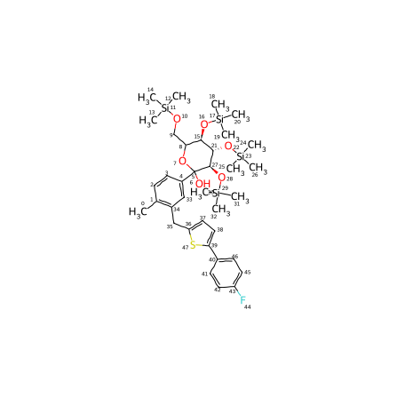 Cc1ccc(C2(O)OC(CO[Si](C)(C)C)[C@@H](O[Si](C)(C)C)[C@H](O[Si](C)(C)C)[C@H]2O[Si](C)(C)C)cc1Cc1ccc(-c2ccc(F)cc2)s1